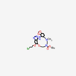 CN1CCN(C(=O)OC(C)(C)C)CCCOc2cc3c(ncnc3cc2OCCCBr)Nc2c(ccc3c2OCO3)C1